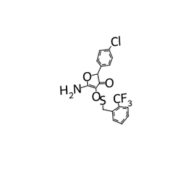 NC1=C(OSCc2ccccc2C(F)(F)F)C(=O)C(c2ccc(Cl)cc2)O1